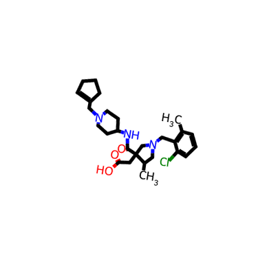 Cc1cccc(Cl)c1CN1CC(C)C(CC(=O)O)(C(=O)NC2CCN(CC3=CCCC3)CC2)C1